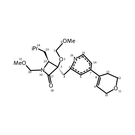 COCO[C@@]1(Cc2cc(C3=CCOCC3)ccn2)C(=O)N(COC)[C@H]1CC(C)C